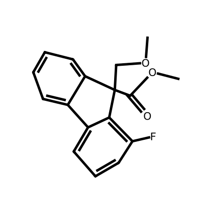 COCC1(C(=O)OC)c2ccccc2-c2cccc(F)c21